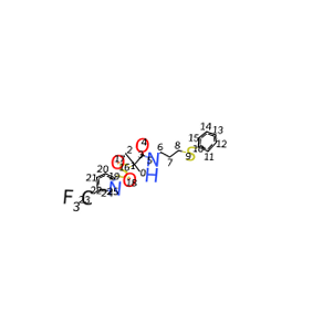 CC(C)(C(=O)NCCCSc1ccccc1)S(=O)(=O)c1ccc(C(F)(F)F)cn1